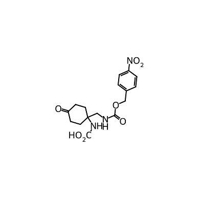 O=C1CCC(CNC(=O)OCc2ccc([N+](=O)[O-])cc2)(NC(=O)O)CC1